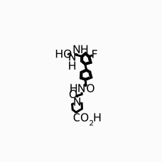 N=C(NO)c1cc(F)cc(-c2ccc(C(=O)NCC(=O)N3CCC(C(=O)O)CC3)cc2)c1